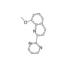 COc1cccc2ccc(-c3ncccn3)nc12